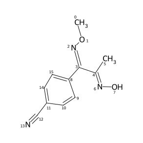 CON=C(C(C)=NO)c1ccc(C#N)cc1